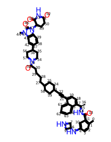 Cc1ccc(NC2CNC2)cc1C(=O)N[C@H](C)c1ccc(C#CC2CCC(CCCCC(=O)N3CCC(c4ccc5c(c4)n(C)c(=O)n5C4CCC(=O)NC4=O)CC3)CC2)c2ccccc12